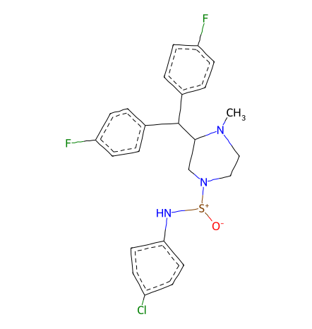 CN1CCN([S+]([O-])Nc2ccc(Cl)cc2)CC1C(c1ccc(F)cc1)c1ccc(F)cc1